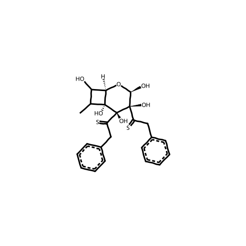 CC1C(O)[C@H]2O[C@@H](O)[C@](O)(C(=S)Cc3ccccc3)[C@](O)(C(=S)Cc3ccccc3)[C@@]12O